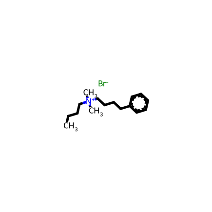 CCCC[N+](C)(C)CCCCc1ccccc1.[Br-]